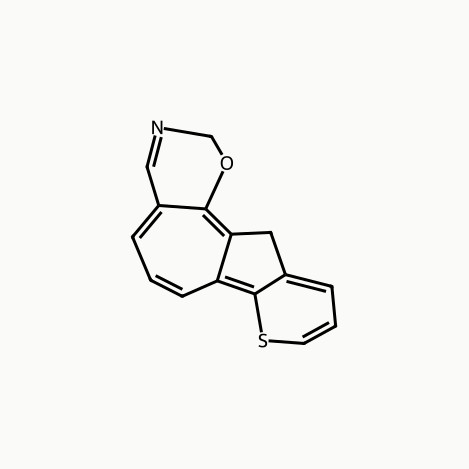 C1=CSC2=C3C=CC=C4C=NCOC4=C3CC2=C1